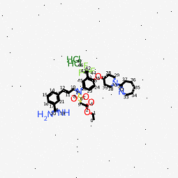 CCOC(=O)CS(=O)(=O)N(C/C=C/c1cccc(C(=N)N)c1)c1ccc(OC2CCN(C3=NCCCCC3)CC2)c(C(F)(F)F)c1.Cl.Cl